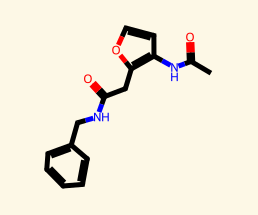 CC(=O)Nc1ccoc1CC(=O)NCc1ccccc1